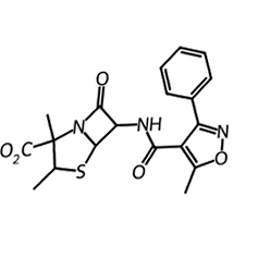 Cc1onc(-c2ccccc2)c1C(=O)NC1C(=O)N2C1SC(C)C2(C)C(=O)O